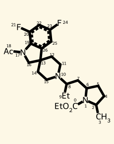 CCOC(=O)N1C(C)CCC1CC(CC)N1CCC2(CC1)CN(C(C)=O)c1c(F)cc(F)cc12